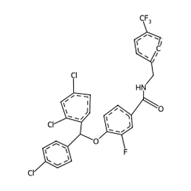 O=C(NCc1ccc(C(F)(F)F)cc1)c1ccc(OC(c2ccc(Cl)cc2)c2ccc(Cl)cc2Cl)c(F)c1